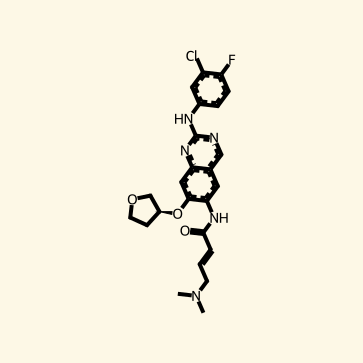 CN(C)C/C=C/C(=O)Nc1cc2cnc(Nc3ccc(F)c(Cl)c3)nc2cc1O[C@H]1CCOC1